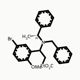 CCOC(=O)CC(c1cc(Br)ccc1OC)N(Cc1ccccc1)[C@H](C)c1ccccc1